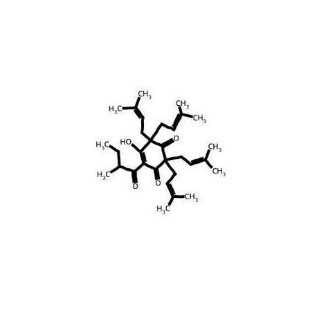 CCC(C)C(=O)C1=C(O)C(CC=C(C)C)(CC=C(C)C)C(=O)C(CC=C(C)C)(CC=C(C)C)C1=O